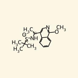 COc1ncc([C@H](C)N[S@@+]([O-])C(C)(C)C)c2ccccc12